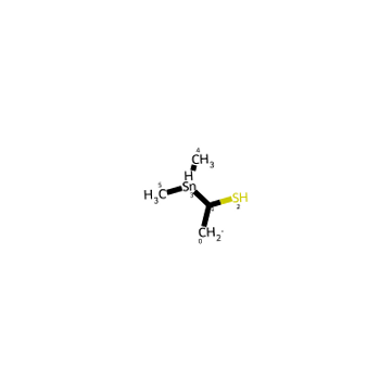 [CH2][CH](S)[SnH]([CH3])[CH3]